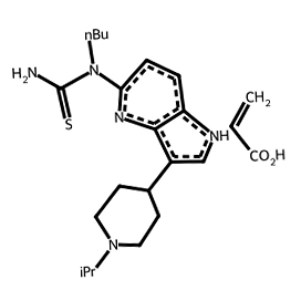 C=CC(=O)O.CCCCN(C(N)=S)c1ccc2[nH]cc(C3CCN(C(C)C)CC3)c2n1